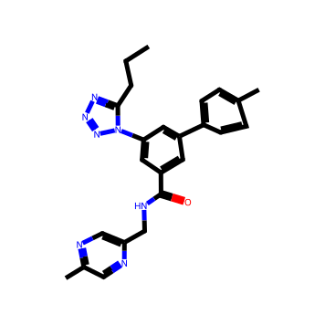 CCCc1nnnn1-c1cc(C(=O)NCc2cnc(C)cn2)cc(-c2ccc(C)cc2)c1